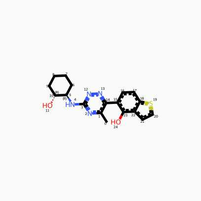 Cc1nc(N[C@@H]2CCCC[C@H]2O)nnc1-c1ccc2sccc2c1O